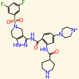 CN1CCN(c2ccc(C(=O)Nc3n[nH]c4c3CN(S(=O)(=O)c3cc(F)cc(F)c3)CC4)c(NC(=O)C3CCNCC3)c2)CC1